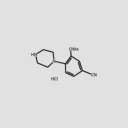 COc1cc(C#N)ccc1N1CCNCC1.Cl